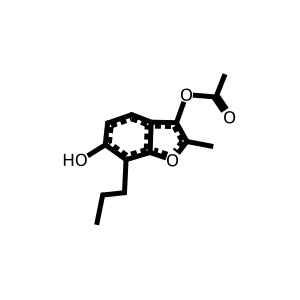 CCCc1c(O)ccc2c(OC(C)=O)c(C)oc12